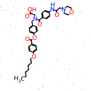 CCCCCCCOc1ccc(C(=O)Oc2ccc(CN(CC(=O)O)C(=O)c3ccc(NC(=O)CN4CCOCC4)cc3)cc2)cc1